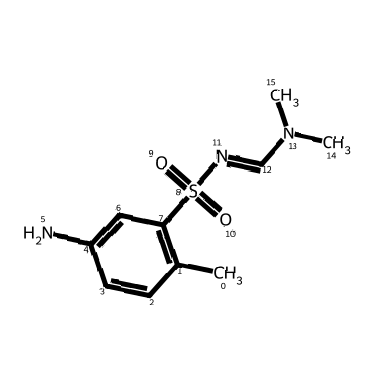 Cc1ccc(N)cc1S(=O)(=O)/N=C/N(C)C